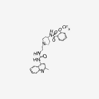 Cc1cc(NC(=O)NCCN2CCC(NS(=O)(=O)c3ccccc3OC(F)(F)F)CC2)c2ccccc2n1